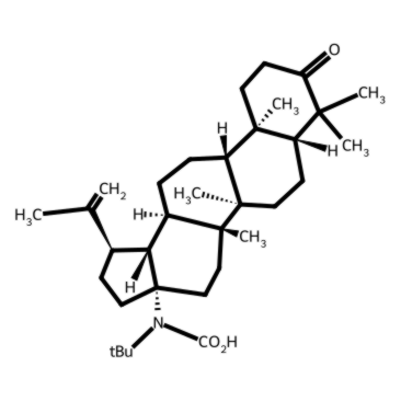 C=C(C)[C@@H]1CC[C@]2(N(C(=O)O)C(C)(C)C)CC[C@]3(C)[C@H](CC[C@@H]4[C@@]5(C)CCC(=O)C(C)(C)[C@@H]5CC[C@]43C)[C@@H]12